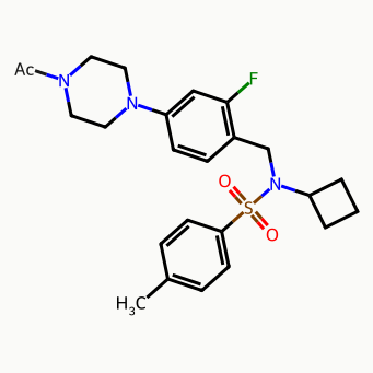 CC(=O)N1CCN(c2ccc(CN(C3CCC3)S(=O)(=O)c3ccc(C)cc3)c(F)c2)CC1